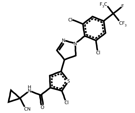 N#CC1(NC(=O)c2cc(C3C=NN(c4c(Cl)cc(C(F)(C(F)(F)F)C(F)(F)F)cc4Cl)C3)sc2Cl)CC1